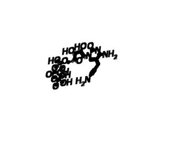 NC#CCc1cn([C@@H]2O[C@H](COP(=O)(O)OP(=O)(O)OP(=O)(O)O)[C@@H](O)[C@H]2O)c(=O)nc1N